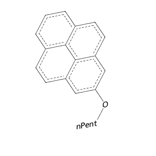 CCCCCOc1cc2ccc3cccc4ccc(c1)c2c34